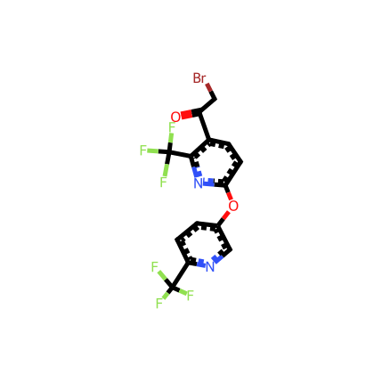 O=C(CBr)c1ccc(Oc2ccc(C(F)(F)F)nc2)nc1C(F)(F)F